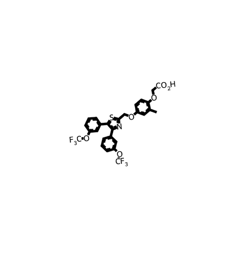 Cc1cc(OCc2nc(-c3cccc(OC(F)(F)F)c3)c(-c3cccc(OC(F)(F)F)c3)s2)ccc1OCC(=O)O